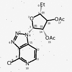 CC[C@H]1O[C@@H](n2nnc3c(Cl)nccc32)[C@@H](OC(C)=O)C1OC(C)=O